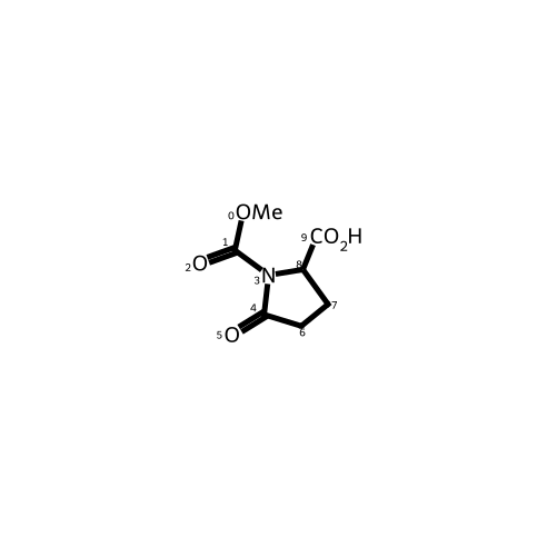 COC(=O)N1C(=O)CCC1C(=O)O